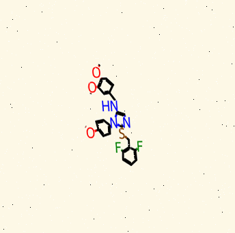 COc1ccc(-n2c(NCc3ccc(OC)c(OC)c3)cnc2SCc2c(F)cccc2F)cc1